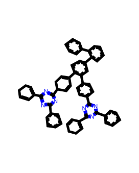 C1=CC(c2nc(-c3ccccc3)nc(-c3ccc(-c4cc(-c5ccccc5-c5ccccc5)ccc4C4=CCC(c5nc(C6=CCCC=C6)nc(-c6ccccc6)n5)C=C4)cc3)n2)=CCC1